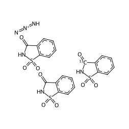 O=C1NS(=O)(=O)c2ccccc21.O=C1NS(=O)(=O)c2ccccc21.O=[13C]1NS(=O)(=O)c2ccccc21.[N-]=[N+]=N